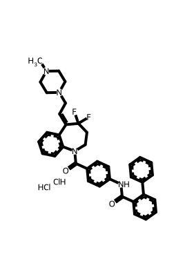 CN1CCN(C/C=C2/c3ccccc3N(C(=O)c3ccc(NC(=O)c4ccccc4-c4ccccc4)cc3)CCC2(F)F)CC1.Cl.Cl